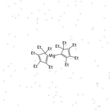 CCC1=C(CC)C(CC)(CC)[C]([Mg][C]2=C(CC)C(CC)=C(CC)C2(CC)CC)=C1CC